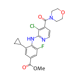 COC(=O)c1cc(F)c(Nc2nccc(C(=O)N3CCOCC3)c2Cl)c(C2CC2)c1